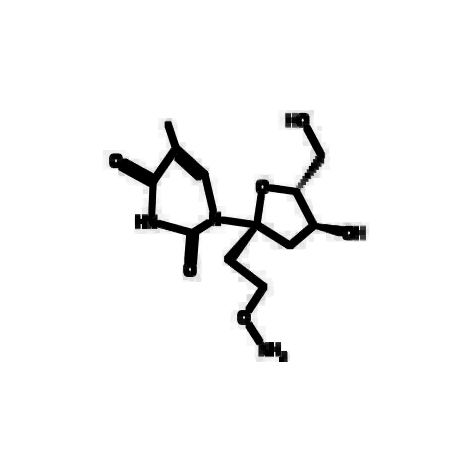 Cc1cn([C@@]2(CCON)C[C@H](O)[C@@H](CO)O2)c(=O)[nH]c1=O